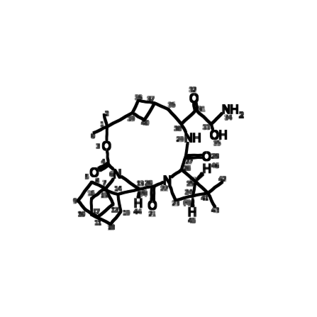 CC1(C)OC(=O)N(C2CCCCC2)[C@@H](C2CCCCC2)C(=O)N2C[C@@H]3[C@H](C2C(=O)NC(C(=O)C(N)O)CC2CC1C2)C3(C)C